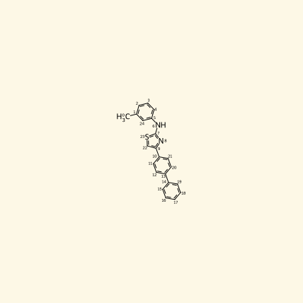 Cc1cccc(Nc2nc(-c3ccc(-c4ccccc4)cc3)cs2)c1